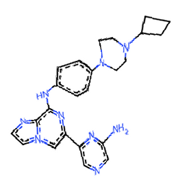 Nc1cncc(-c2cn3ccnc3c(Nc3ccc(N4CCN(C5CCC5)CC4)cc3)n2)n1